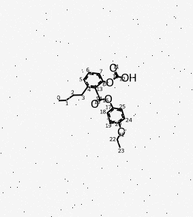 CCCCc1cccc(OC(=O)O)c1C(=O)Oc1ccc(OCC)cc1